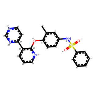 Cc1cc(NS(=O)(=O)c2ccccc2)ccc1Oc1ncccc1-c1ccncn1